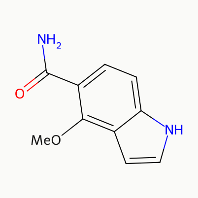 COc1c(C(N)=O)ccc2[nH]ccc12